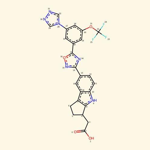 O=C(O)CC1CCc2c1[nH]c1ccc(-c3noc(-c4cc(OC(F)(F)F)cc(-n5cnnc5)c4)n3)cc21